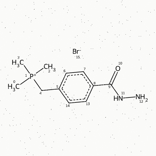 C[P+](C)(C)Cc1ccc(C(=O)NN)cc1.[Br-]